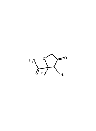 CC1C(=O)COC1(C)C(N)=O